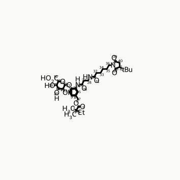 CCC(C)(C)C(=O)OCc1ccc(O[C@@H]2O[C@H](C(=O)O)[C@@H](O)[C@H](O)[C@H]2O)c(NC(=O)CCNC(=O)CCCCCN2C(=O)CC(C(C)(C)C)C2=O)c1